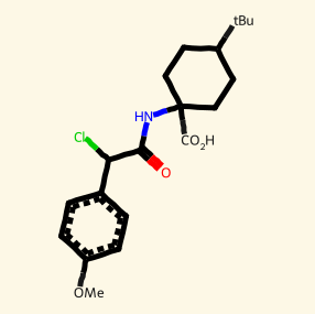 COc1ccc(C(Cl)C(=O)NC2(C(=O)O)CCC(C(C)(C)C)CC2)cc1